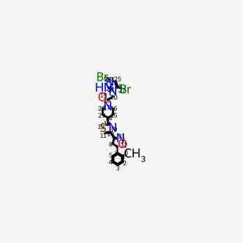 Cc1ccccc1[C@H]1CC(c2csc(C3CCN(C(=O)CN4NN(Br)C=C4Br)CC3)n2)=NO1